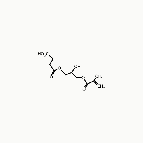 C=C(C)C(=O)OCC(O)COC(=O)CCC(=O)O